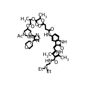 CCN(CC)CCNC(=O)c1c(C)[nH]c(/C=C2\C(=O)Nc3ccc(NC(=O)CCC(=O)OC(C)C(=O)OC(C)C(=O)OC(COc4nsnc4N4CCOCC4)CN(C(C)=O)C(C)(C)C)cc32)c1C